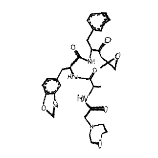 CC(NC(=O)CN1CCOCC1)C(=O)NC(Cc1ccc2c(c1)OCO2)C(=O)NC(Cc1ccccc1)C(=O)C1(C)CO1